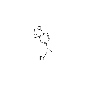 CC(C)C1CC1c1ccc2c(c1)OCO2